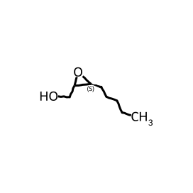 CCCCC[C@@H]1OC1CO